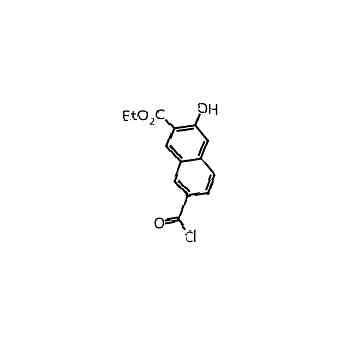 CCOC(=O)c1cc2cc(C(=O)Cl)ccc2cc1O